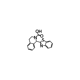 O=C(O)N1CCc2ccccc2C1c1nc2ccccc2s1